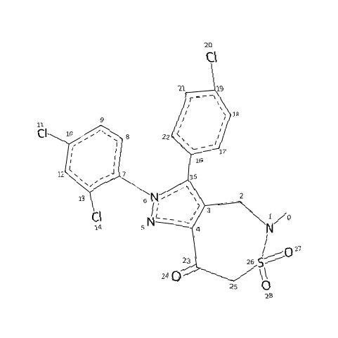 CN1Cc2c(nn(-c3ccc(Cl)cc3Cl)c2-c2ccc(Cl)cc2)C(=O)CS1(=O)=O